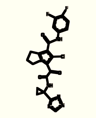 O=C(NC1(c2nncs2)CC1)C(=O)c1c(Cl)c(C(=O)Nc2ccc(F)c(F)c2)c2n1CCC2